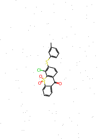 Cc1cccc(Sc2ccc3c(c2Cl)S(=O)(=O)c2ccccc2C3=O)c1